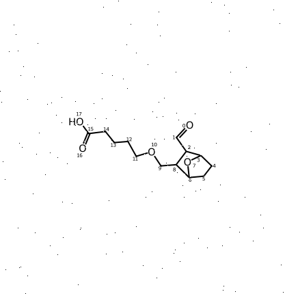 O=CC1C2CCC(O2)C1COCCCCC(=O)O